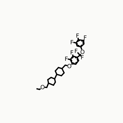 CCOCC1CCC(C2CCC(COc3ccc(C(F)(F)Oc4cc(F)c(F)c(F)c4)c(F)c3F)CC2)CC1